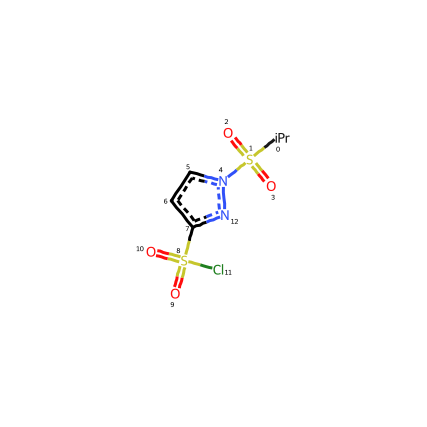 CC(C)S(=O)(=O)n1ccc(S(=O)(=O)Cl)n1